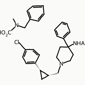 CC(=O)NC1(c2ccccc2)CCN(C[C@@H]2C[C@@H]2c2ccc(Cl)cc2)CC1.CN(Cc1ccccc1)C(=O)O